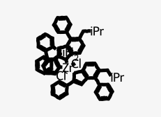 CC(C)Cc1ccc2c(c1-c1ccccc1)C=C(c1ccccc1)[CH]2[Zr]([Cl])([Cl])([c]1cccc2c1[SiH2]c1ccccc1-2)[CH]1C(c2ccccc2)=Cc2c1ccc(CC(C)C)c2-c1ccccc1